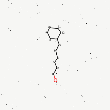 [O]CCCCCCC1CCCCC1